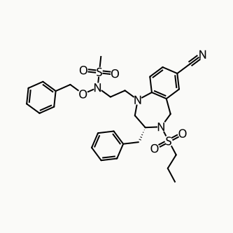 CCCS(=O)(=O)N1Cc2cc(C#N)ccc2N(CCN(OCc2ccccc2)S(C)(=O)=O)C[C@H]1Cc1ccccc1